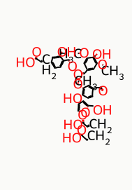 C=CC(=O)O.C=CC(=O)O.C=CC(=O)O.COc1cc(C=O)cc(OC)c1O.COc1cc(C=O)ccc1O.O=Cc1ccccc1O.OCc1ccco1